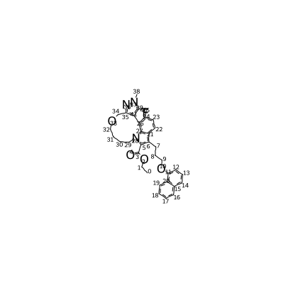 CCOC(=O)c1c(CCCOc2cccc3ccccc23)c2ccc(F)c3c2n1CCCCOCc1nn(C)c(C)c1-3